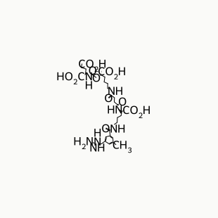 Cc1cc(CNC(=N)N)cc(C(=O)NCCCCC(NC(=O)CCC(=O)NCCCC[C@H](OC(=O)N[C@@H](CCC(=O)O)C(=O)O)C(=O)O)C(=O)O)c1